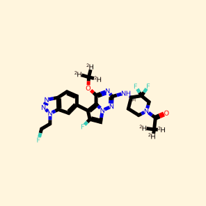 [2H]C([2H])([2H])Oc1nc(N[C@@H]2CCN(C(=O)C([2H])([2H])[2H])CC2(F)F)nn2cc(F)c(-c3ccc4nnn(CCF)c4c3)c12